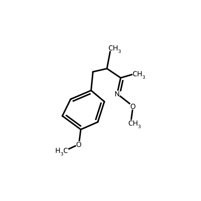 CON=C(C)C(C)Cc1ccc(OC)cc1